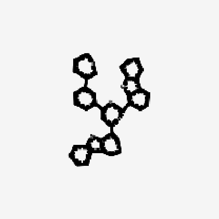 c1cncc(-c2cccc(-c3cc(-c4cccc5c4oc4ccccc45)nc(-c4cccc5c4oc4ccccc45)n3)c2)c1